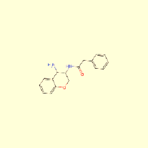 NC1c2ccccc2OCC1NC(=O)Cc1ccccc1